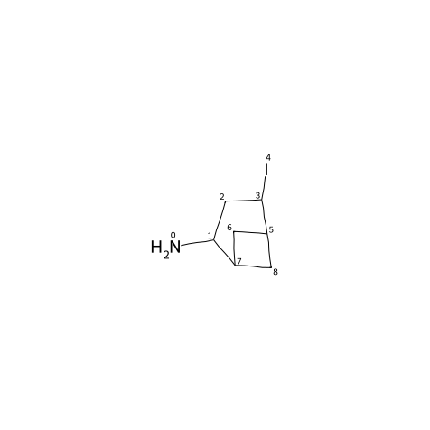 NC1CC(I)C2CC1C2